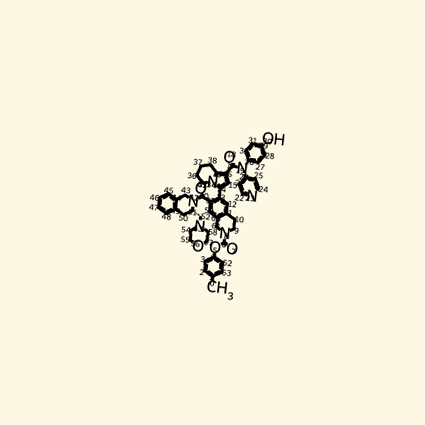 Cc1ccc(OC(=O)N2CCc3cc(-c4cc(C(=O)N(c5ccncc5)c5ccc(O)cc5)c5n4CCCC5)c(C(=O)N4Cc5ccccc5C[C@H]4CN4CCOCC4)cc3C2)cc1